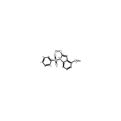 COc1cccc2c1cc(C=O)n2S(=O)(=O)c1ccccc1